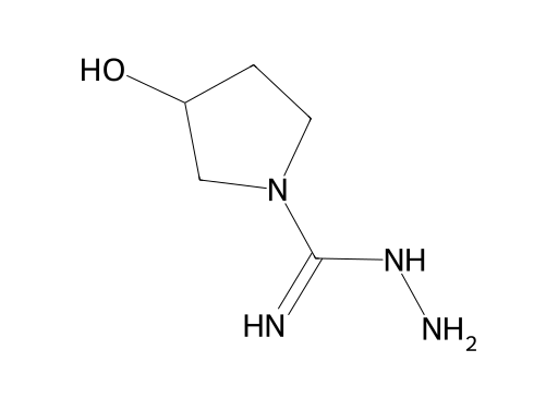 N=C(NN)N1CCC(O)C1